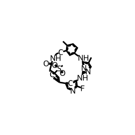 Cc1ccc2cc1CCNC(=O)c1ccc(cc1S(C)(=O)=O)-c1cnc(F)c(c1)Nc1ncc(C)c(n1)N2